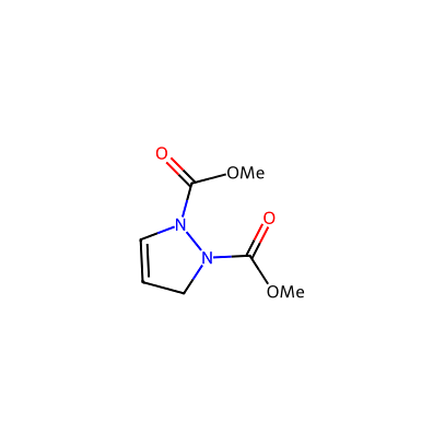 COC(=O)N1C=CCN1C(=O)OC